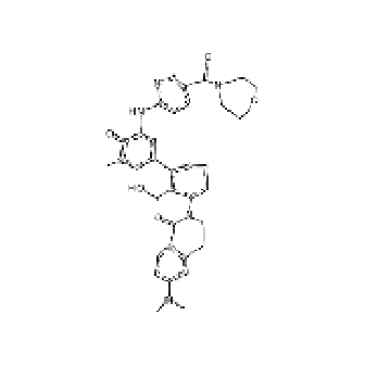 CN(C)c1ccc2c(c1)CCN(c1cccc(-c3cc(Nc4ccc(C(=O)N5CCOCC5)cn4)c(=O)n(C)c3)c1CO)C2=O